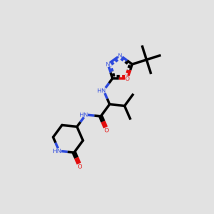 CC(C)C(Nc1nnc(C(C)(C)C)o1)C(=O)NC1CCNC(=O)C1